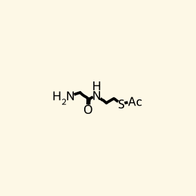 CC(=O)SCCNC(=O)CN